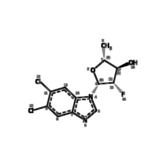 C[C@H]1O[C@@H](n2cnc3cc(Cl)c(Cl)cc32)[C@@H](F)[C@@H]1O